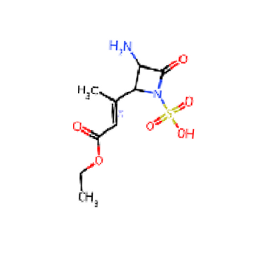 CCOC(=O)/C=C(\C)C1C(N)C(=O)N1S(=O)(=O)O